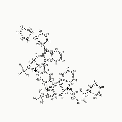 CC(C)(C)c1cc2cc3c(c4ccccc4n3-c3cccc(-c4ccccc4)c3)c3c4cc5c6c7c8ccccc8n(-c8cccc(-c9ccccc9)c8)c7cc7cc(C(C)(C)C)n(c5cc4n1c23)c76